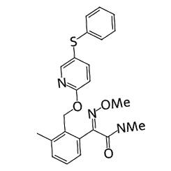 CNC(=O)C(=NOC)c1cccc(C)c1COc1ccc(Sc2ccccc2)cn1